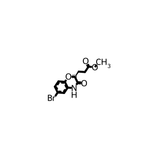 COC(=O)CC[C@@H]1Oc2ccc(Br)cc2NC1=O